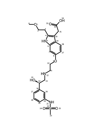 COCCc1[nH]c2cc(OCCNC[C@H](O)c3cccc(NS(C)(=O)=O)c3)ccc2c1CC(=O)O